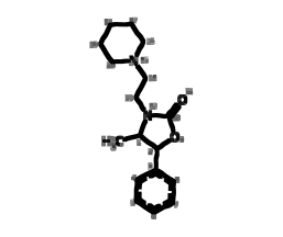 CC1C(c2ccccc2)OC(=O)N1CCN1CCCCC1